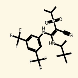 CC(NC(Nc1cc(C(F)(F)F)cc(C(F)(F)F)c1)=C(C#N)S(=O)(=O)C(C)C)C(C)(C)C